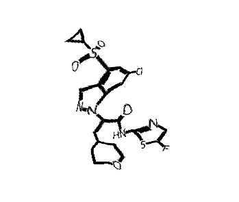 O=C(Nc1ncc(F)s1)C(CC1CCOCC1)n1ncc2c(S(=O)(=O)C3CC3)cc(Cl)cc21